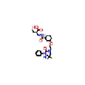 CCC(CNC(=O)[C@@H]1CCC[C@H](OCCN(CC(C)(C)C)C(=O)Nc2ccccc2)C1)C(=O)O